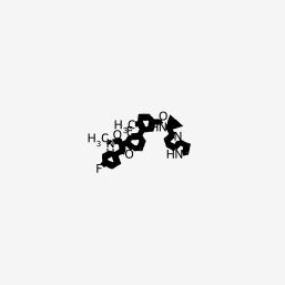 CNC(=O)c1c(-c2ccc(F)cc2)oc2ccc(-c3cc(C(=O)NC4(c5ccc6[nH]ccc6n5)CC4)ccc3C)c(F)c12